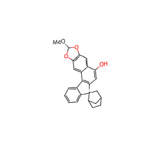 COC1Oc2cc3c(O)cc4c(c3cc2O1)-c1ccccc1C41CC2CCC1C2